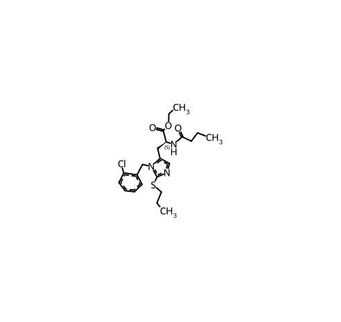 CCCSc1ncc(C[C@H](NC(=O)CCC)C(=O)OCC)n1Cc1ccccc1Cl